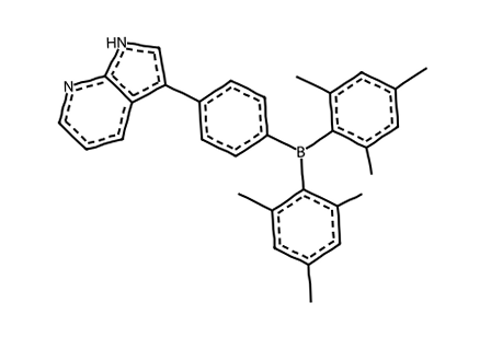 Cc1cc(C)c(B(c2ccc(-c3c[nH]c4ncccc34)cc2)c2c(C)cc(C)cc2C)c(C)c1